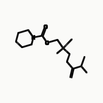 C=C(CCC(C)(C)COC(=O)N1CCCCC1)C(C)C